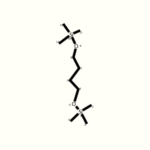 C[Si](C)(C)OCCCCO[Si](C)(C)C